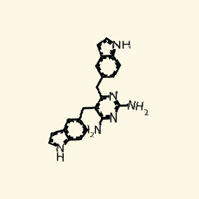 Nc1nc(N)c(Cc2ccc3[nH]ccc3c2)c(Cc2ccc3[nH]ccc3c2)n1